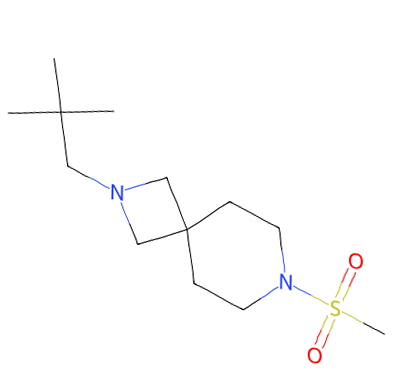 CC(C)(C)CN1CC2(CCN(S(C)(=O)=O)CC2)C1